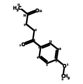 COc1ccc(C(=O)CCC(C)=O)cc1